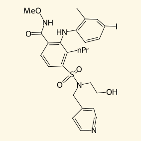 CCCc1c(S(=O)(=O)N(CCO)Cc2ccncc2)ccc(C(=O)NOC)c1Nc1ccc(I)cc1C